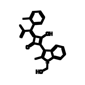 C=C(C)/C(=C1\C(=O)C(c2c(C)n(CO)c3ccccc23)=C1O)c1ccccc1C